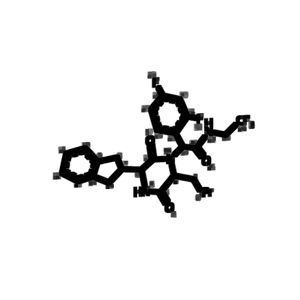 CC(C)CC1C(=O)NC(C2Cc3ccccc3C2)C(=O)N1C(C(=O)NCC(F)(F)F)c1ccc(F)cc1F